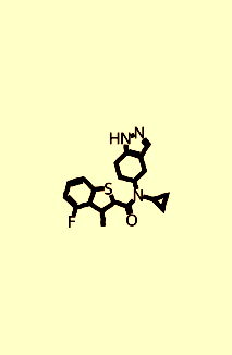 CC1C(C(=O)N(C2CC2)C2CCc3[nH]ncc3C2)SC2C=CC=C(F)C21